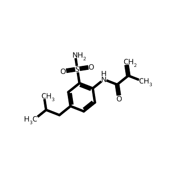 C=C(C)C(=O)Nc1ccc(CC(C)C)cc1S(N)(=O)=O